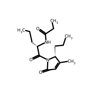 CCC[C@H](NC(=O)CC)C(=O)N1C(=O)C=C(C)[C@H]1CCC